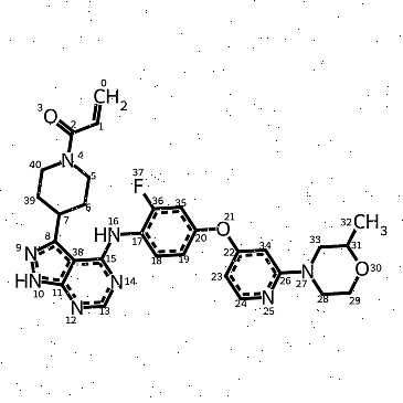 C=CC(=O)N1CCC(c2n[nH]c3ncnc(Nc4ccc(Oc5ccnc(N6CCOC(C)C6)c5)cc4F)c23)CC1